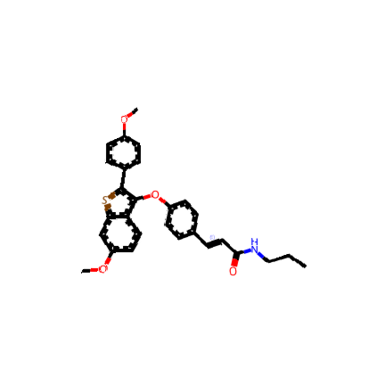 CCCNC(=O)/C=C/c1ccc(Oc2c(-c3ccc(OC)cc3)sc3cc(OC)ccc23)cc1